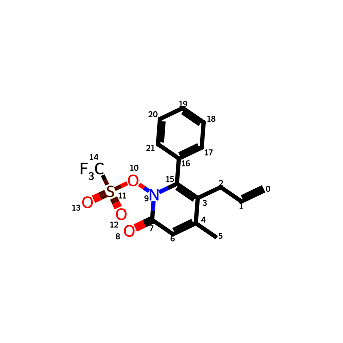 C=CCc1c(C)cc(=O)n(OS(=O)(=O)C(F)(F)F)c1-c1ccccc1